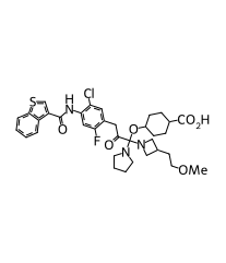 COCCC1CN(C(OC2CCC(C(=O)O)CC2)(C(=O)Cc2cc(Cl)c(NC(=O)c3csc4ccccc34)cc2F)N2CCCC2)C1